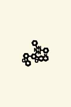 c1ccc(-c2nc(-c3ccccc3)nc(-c3cc(-c4cccc5oc6ccccc6c45)cc4oc5cc6cccnc6cc5c34)n2)cc1